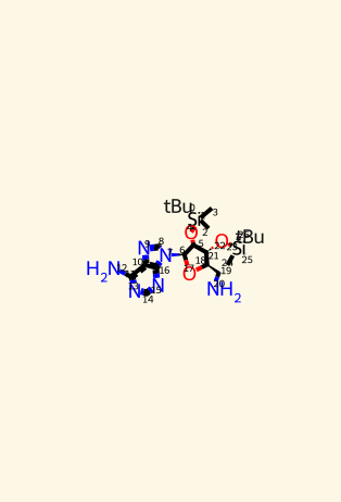 CC(C)(C)[Si](C)(C)OC1[C@H](n2cnc3c(N)ncnc32)O[C@H](CN)[C@H]1O[Si](C)(C)C(C)(C)C